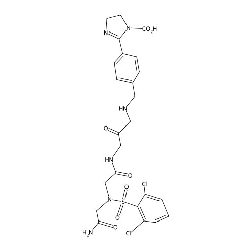 NC(=O)CN(CC(=O)NCC(=O)CNCc1ccc(C2=NCCN2C(=O)O)cc1)S(=O)(=O)c1c(Cl)cccc1Cl